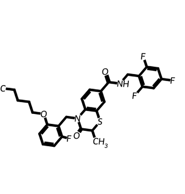 CCCCCOc1cccc(F)c1CN1C(=O)C(C)Sc2cc(C(=O)NCc3c(F)cc(F)cc3F)ccc21